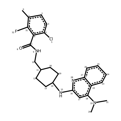 Cc1ccc(Cl)c(C(=O)NCC2CCC(Nc3cc(N(C)C)c4ccccc4n3)CC2)c1F